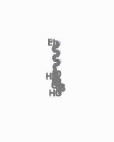 CC/C=C\C/C=C\C/C=C\C/C=C\C/C=C\C/C=C\CCC(=O)Nc1ccn([C@@H]2CS[C@H](CO)O2)c(=O)n1